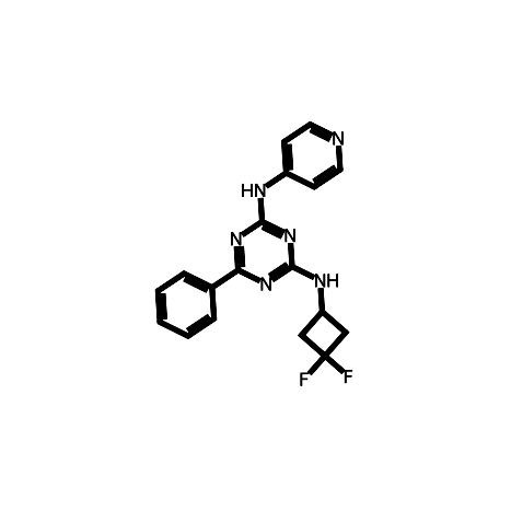 FC1(F)CC(Nc2nc(Nc3ccncc3)nc(-c3ccccc3)n2)C1